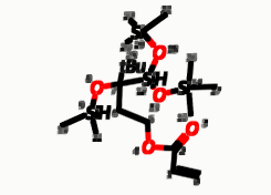 C=CC(=O)OCCC(O[SiH](C)C)([SiH](O[Si](C)(C)C)O[Si](C)(C)C)C(C)(C)C